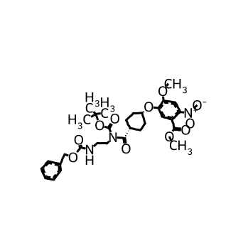 COC(=O)c1cc(O[C@H]2CC[C@@H](C(=O)N(CCNC(=O)OCc3ccccc3)C(=O)OC(C)(C)C)CC2)c(OC)cc1[N+](=O)[O-]